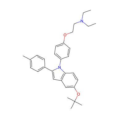 CCN(CC)CCOc1ccc(-n2c(-c3ccc(C)cc3)cc3cc(OC(C)(C)C)ccc32)cc1